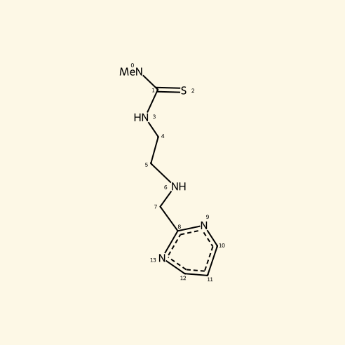 CNC(=S)NCCNCc1ncccn1